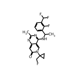 Cc1nc(NC(C)c2cccc(C(F)F)c2F)c2cn(C3(CF)CC3)c(=O)cc2n1